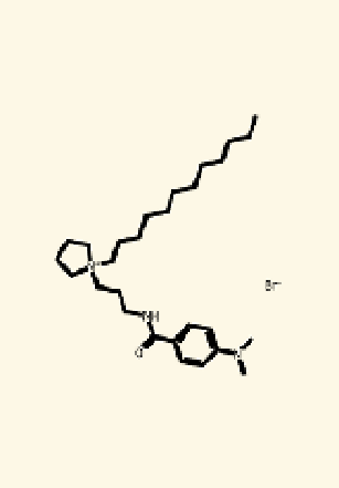 CCCCCCCCCCCC[N+]1(CCCNC(=O)c2ccc(N(C)C)cc2)CCCC1.[Br-]